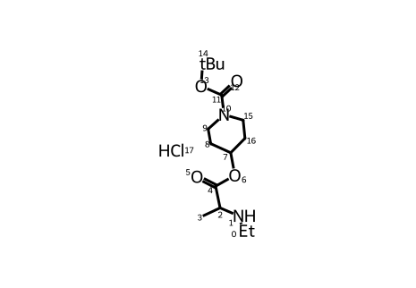 CCNC(C)C(=O)OC1CCN(C(=O)OC(C)(C)C)CC1.Cl